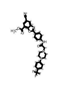 COC(=O)c1cc(C#N)cc2nc(-c3ccc(NC(=O)CN4CCN(c5ccc(C(F)(F)F)cc5)CC4)cc3)oc12